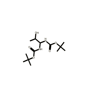 CC(O)C(NC(=O)OC(C)(C)C)NC(=O)OC(C)(C)C